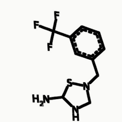 NC1NCN(Cc2cccc(C(F)(F)F)c2)S1